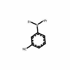 [CH2]CCN(CC)c1cccc(C#N)c1